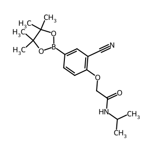 CC(C)NC(=O)COc1ccc(B2OC(C)(C)C(C)(C)O2)cc1C#N